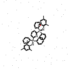 Cc1cc(C)c(N=P(c2ccccc2)(c2ccccc2)c2cccc(P(=Nc3c(C)cc(C)cc3C)(c3ccccc3)c3ccccc3)n2)c(C)c1